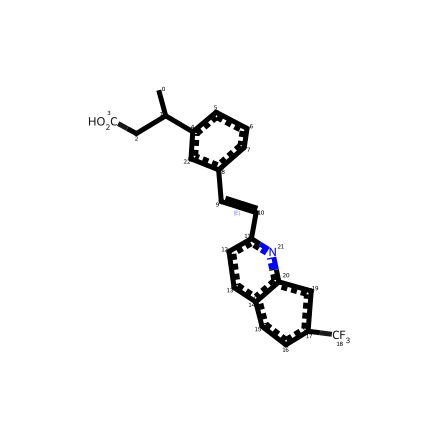 CC(CC(=O)O)c1cccc(/C=C/c2ccc3ccc(C(F)(F)F)cc3n2)c1